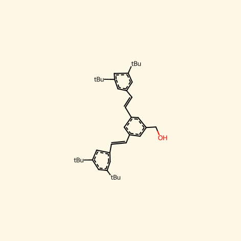 CC(C)(C)c1cc(C=Cc2cc(C=Cc3cc(C(C)(C)C)cc(C(C)(C)C)c3)cc(CO)c2)cc(C(C)(C)C)c1